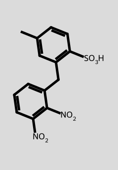 Cc1ccc(S(=O)(=O)O)c(Cc2cccc([N+](=O)[O-])c2[N+](=O)[O-])c1